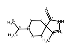 CC1=NNC(=O)C12CCN(C(C)C)CC2